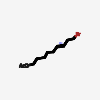 CC(=O)OCCCCC/C=C/CCBr